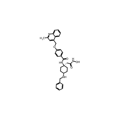 Cc1cc(COc2ccc(C(=O)N[C@]3(CC(=O)NO)CC[C@H](NCc4ccccc4)CC3)cc2)c2ccccc2n1